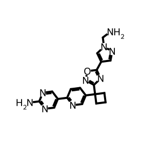 NCn1cc(-c2nc(C3(c4ccc(-c5cnc(N)nc5)nc4)CCC3)no2)cn1